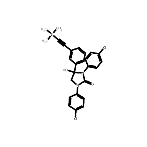 C[Si](C)(C)C#Cc1cccc(C2(O)CN(c3ccc(Cl)cc3)C(=O)N2c2ccc(Cl)cc2)c1